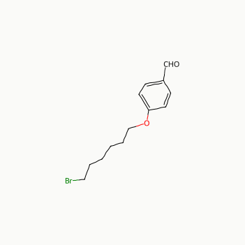 O=Cc1ccc(OCCCCCCBr)cc1